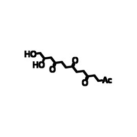 CC(=O)CCC(=O)CCC(=O)CCC(=O)CC(O)CO